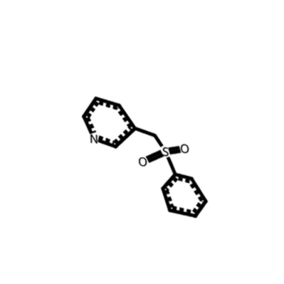 O=S(=O)(Cc1cccnc1)c1ccccc1